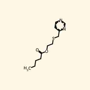 CCCCC(=O)OCCSCc1ccncn1